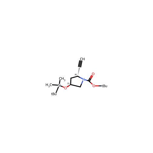 C#C[C@H]1C[C@H](O[Si](C)(C)C(C)(C)C)CN1C(=O)OC(C)(C)C